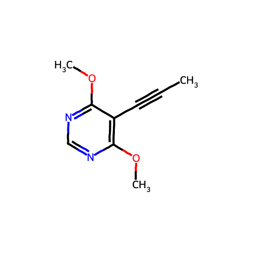 CC#Cc1c(OC)ncnc1OC